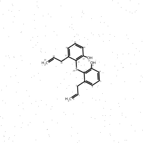 C=CCc1cccc(O)c1Sc1c(O)cccc1CC=C